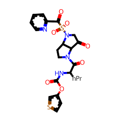 CCCC(NC(=O)Oc1ccsc1)C(=O)N1CCC2C1C(=O)CN2S(=O)(=O)C(=O)c1ccccn1